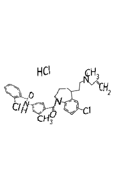 C=CCN(C)CCC1CCCN(C(=O)c2ccc(NC(=O)c3ccccc3Cl)cc2C)c2ccc(Cl)cc21.Cl